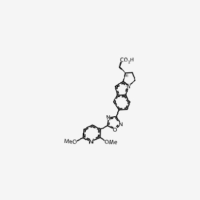 COc1ccc(-c2nc(-c3ccc4c(c3)cc3n4CC[C@@H]3CC(=O)O)no2)c(OC)n1